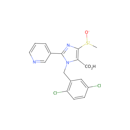 C[S+]([O-])c1nc(-c2cccnc2)n(Cc2cc(Cl)ccc2Cl)c1C(=O)O